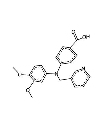 COc1ccc(N(Cc2cccnc2)c2ccc(C(=O)O)cc2)cc1OC